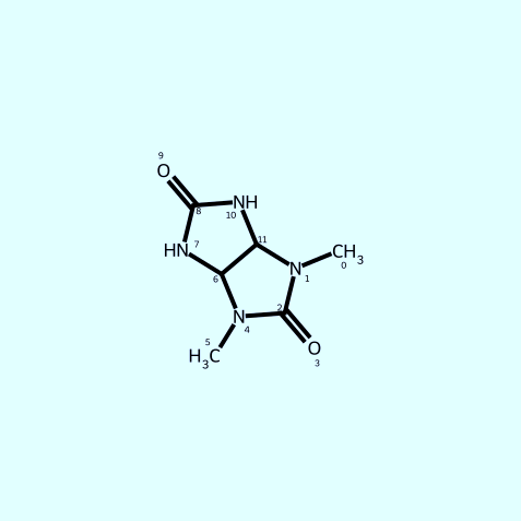 CN1C(=O)N(C)C2NC(=O)NC21